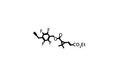 C#CCc1c(F)c(F)c(COC(=O)C2C(C=CC(=O)OCC)C2(C)C)c(F)c1F